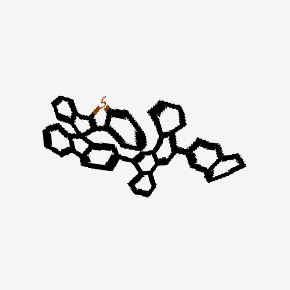 c1ccc2c(c1)-c1ccc(-c3cc4c5ccccc5c(-c5ccc6ccccc6c5)cc4c4ccccc34)cc1C21c2ccccc2-c2sc3ccccc3c21